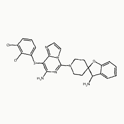 Nc1nc(N2CCC3(CC2)Oc2ccccc2C3N)n2ccnc2c1Sc1cccc(Cl)c1Cl